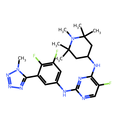 CN1C(C)(C)CC(Nc2nc(Nc3cc(F)c(F)c(-c4nnnn4C)c3)ncc2F)CC1(C)C